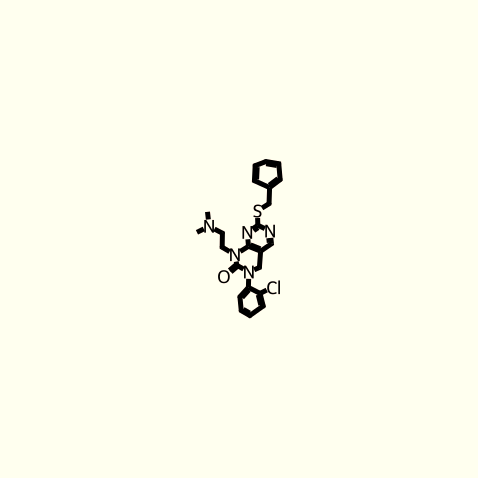 CN(C)CCN1C(=O)N(c2ccccc2Cl)Cc2cnc(SCc3ccccc3)nc21